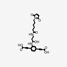 O=C(O)C#Cc1ccc(C#CC(=O)O)c(NC(O)CCNC(=O)CCCCCN2C(=O)C=CC2=O)c1